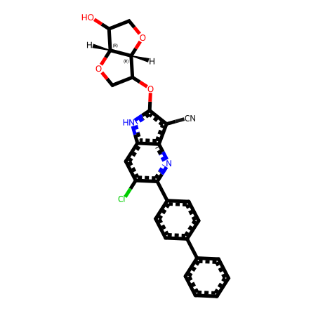 N#Cc1c(OC2CO[C@@H]3C(O)CO[C@H]23)[nH]c2cc(Cl)c(-c3ccc(-c4ccccc4)cc3)nc12